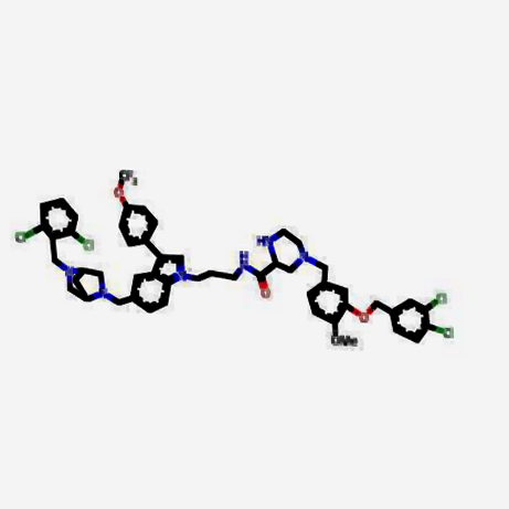 COc1ccc(CN2CCNC(C(=O)NCCCn3cc(-c4ccc(OC(F)(F)F)cc4)c4cc(CN5CC6CC5CN6Cc5c(Cl)cccc5Cl)ccc43)C2)cc1OCc1ccc(Cl)c(Cl)c1